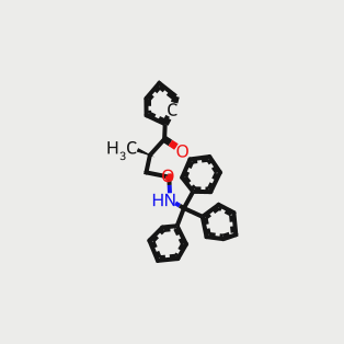 C[C@H](CC(=O)NC(c1ccccc1)(c1ccccc1)c1ccccc1)C(=O)c1ccccc1